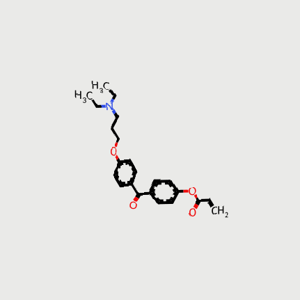 C=CC(=O)Oc1ccc(C(=O)c2ccc(OCCCN(CC)CC)cc2)cc1